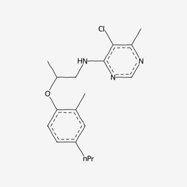 CCCc1ccc(OC(C)CNc2ncnc(C)c2Cl)c(C)c1